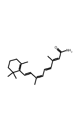 CC1=C(/C=C/C(C)=C\C=C\C(C)=C\C(N)=O)C(C)(C)CCC1